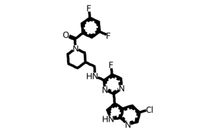 O=C(c1cc(F)cc(F)c1)N1CCCC(CNc2nc(-c3c[nH]c4ncc(Cl)cc34)ncc2F)C1